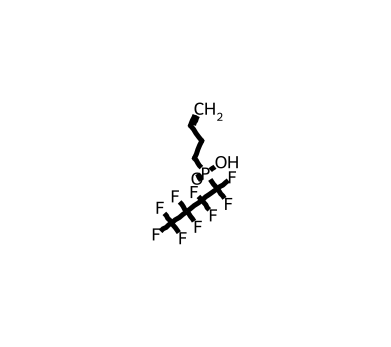 C=CCCP(=O)(O)C(F)(F)C(F)(F)C(F)(F)C(F)(F)F